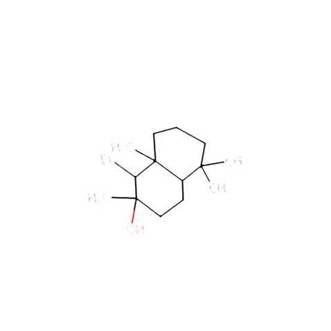 [CH2]CC1C(C)(O)CCC2C(C)(C)CCCC21C